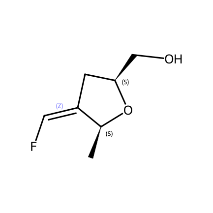 C[C@@H]1O[C@H](CO)C/C1=C/F